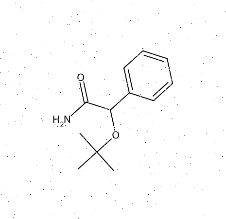 CC(C)(C)OC(C(N)=O)c1c[c]ccc1